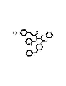 O=C(C(Cc1ccccc1)N(Cc1ccccn1)C(=O)C=Cc1ccc(C(F)(F)F)cc1)N1CCC(Cc2ccccc2)CC1